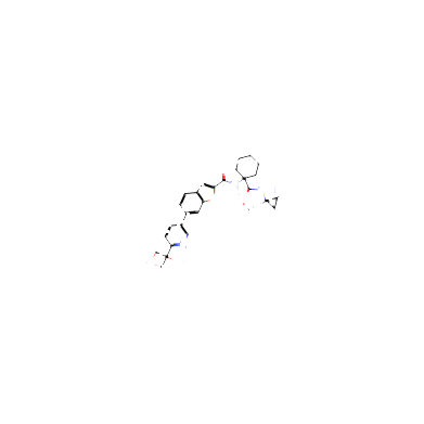 N#CC1(NC(=O)C2(NC(=O)c3cc4ccc(-c5ccc(C6(O)COC6)nc5)cc4o3)CCCCC2)CC1